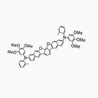 COc1cc(N(c2ccc3cc4c(cc3c2)oc2c4ccc3c4cc5ccc(N(c6cc(OC)c(OC)c(OC)c6)c6ccccc6C)cc5cc4oc32)c2ccccc2C)cc(OC)c1OC